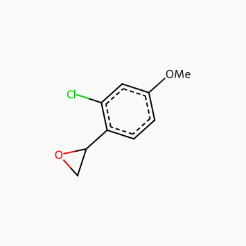 COc1ccc(C2CO2)c(Cl)c1